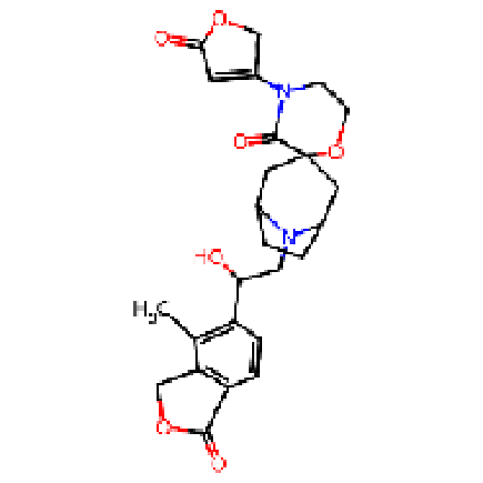 Cc1c(C(O)CN2C3CCC2CC2(C3)OCCN(C3=CC(=O)OC3)C2=O)ccc2c1COC2=O